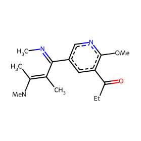 CCC(=O)c1cc(C(=N/C)/C(C)=C(\C)NC)cnc1OC